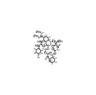 CCC(CC(=O)O[C@H](C)OC(=O)N(C)c1ncccc1COC(=O)CN(C)C(=O)OC(C)(C)C)c1ccc(N(CC(C)C)CC(C)C)c(NC(=O)Nc2ccc(C)cc2)c1